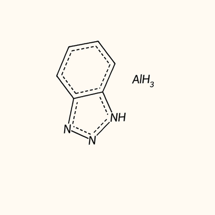 [AlH3].c1ccc2[nH]nnc2c1